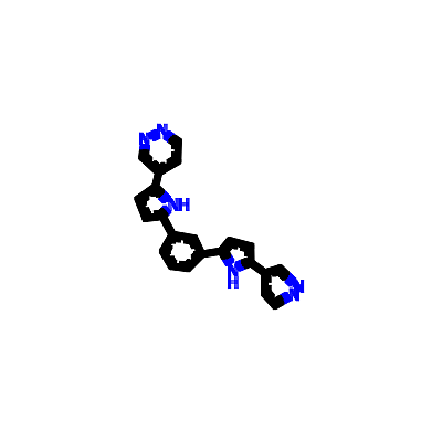 c1cc(-c2ccc(-c3ccnnc3)[nH]2)cc(-c2ccc(-c3ccnnc3)[nH]2)c1